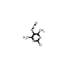 Cc1nc(Cl)nc(C)c1N=C=O